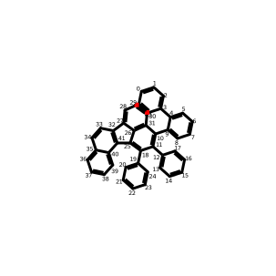 c1ccc(-c2ccccc2-c2c(-c3ccccc3)c(-c3ccccc3)c3c4c(cccc24)-c2ccc4ccccc4c2-3)cc1